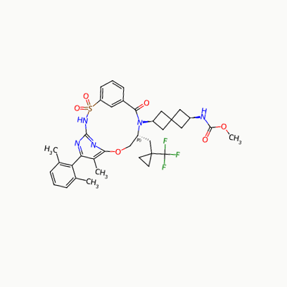 COC(=O)N[C@H]1CC2(C1)C[C@H](N1C(=O)c3cccc(c3)S(=O)(=O)Nc3nc(c(C)c(-c4c(C)cccc4C)n3)OC[C@H]1CC1(C(F)(F)F)CC1)C2